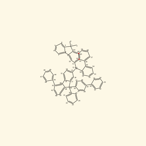 CC1(C)c2ccccc2-c2cc(N(c3ccc4c(c3)C(c3ccccc3)(c3ccc(-c5ccccc5)cc3)c3cccc(-c5ccccc5)c3-4)c3ccccc3-c3ccccc3)ccc21